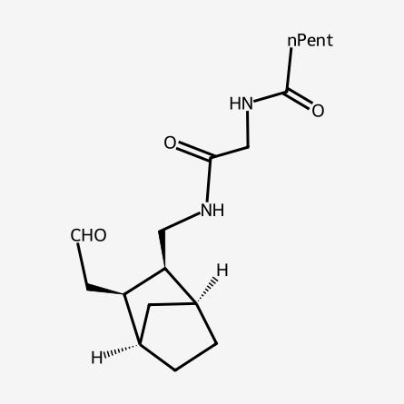 CCCCCC(=O)NCC(=O)NC[C@H]1[C@H]2CC[C@H](C2)[C@H]1CC=O